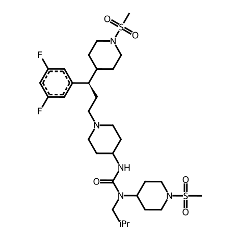 CC(C)CN(C(=O)NC1CCN(CC[C@@H](c2cc(F)cc(F)c2)C2CCN(S(C)(=O)=O)CC2)CC1)C1CCN(S(C)(=O)=O)CC1